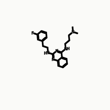 CN(C)CCCNc1nc(NCCc2cccc(F)c2)nc2ccccc12